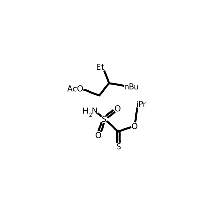 CC(C)OC(=S)S(N)(=O)=O.CCCCC(CC)COC(C)=O